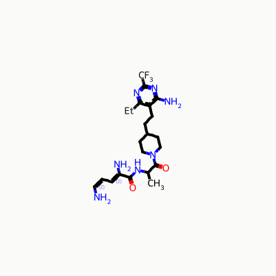 CCc1nc(C(F)(F)F)nc(N)c1CCC1CCN(C(=O)C(C)NC(=O)/C(N)=C/C=C\N)CC1